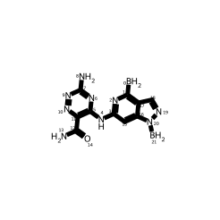 Bc1nc(Nc2nc(N)nnc2C(N)=O)cc2c1cnn2B